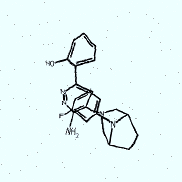 Nc1nnc(-c2ccccc2O)cc1N1CC2CCC(C1)N2c1cncc(F)c1